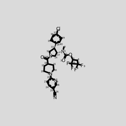 CN(C(=O)OC1CC(F)(F)C1(F)F)[C@@H]1CN(C(=O)C2CCN(c3ccc(C#N)cn3)CC2)C[C@H]1c1ccc(Cl)cc1